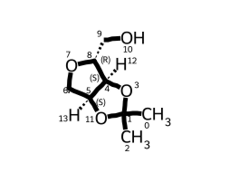 CC1(C)O[C@H]2[C@H]([CH]O[C@@H]2CO)O1